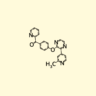 Cc1cc(-c2nccnc2Oc2ccc(C(=O)c3ccccn3)cc2)ccn1